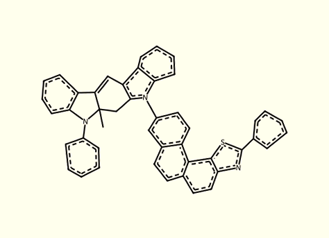 CC12Cc3c(c4ccccc4n3-c3ccc4c(ccc5ccc6nc(-c7ccccc7)sc6c54)c3)C=C1c1ccccc1N2c1ccccc1